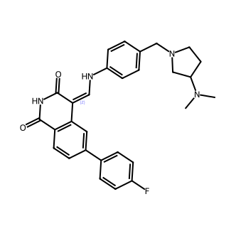 CN(C)C1CCN(Cc2ccc(N/C=C3\C(=O)NC(=O)c4ccc(-c5ccc(F)cc5)cc43)cc2)C1